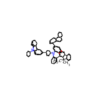 CC1(C)c2ccccc2-c2cccc(-c3ccccc3N(c3ccc(-c4ccc5c(c4)c4ccccc4n5-c4ccccc4)cc3)c3cccc(-c4cccc5c4ccc4ccccc45)c3)c21